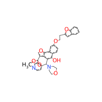 COC(=O)c1coc2c1c(C(c1ccncc1)N1CCOCC1)c(O)c1ccc(OCCc3cc4ccccc4o3)cc12